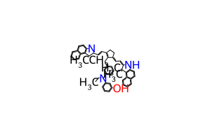 CCN(c1cccc(O)c1)c1cccc(CC2=C(/C=C/C3=Nc4ccc5ccccc5c4C3(C)C)CC/C2=C\C=C2\Nc3ccc4ccccc4c3C2(C)C)c1